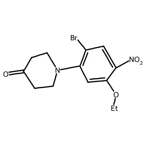 CCOc1cc(N2CCC(=O)CC2)c(Br)cc1[N+](=O)[O-]